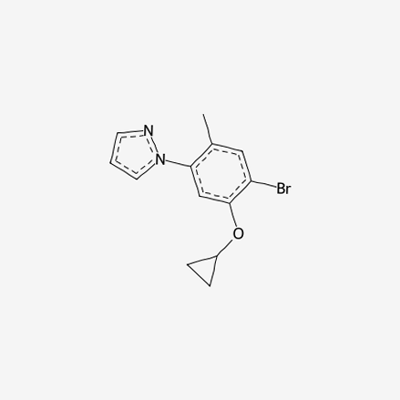 Cc1cc(Br)c(OC2CC2)cc1-n1cccn1